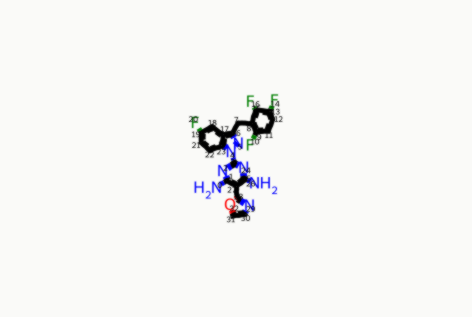 Nc1nc(-n2nc(Cc3c(F)ccc(F)c3F)c3cc(F)ccc32)nc(N)c1-c1ncco1